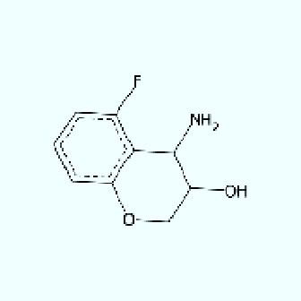 NC1c2c(F)cccc2OCC1O